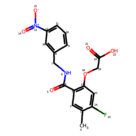 Cc1cc(C(=O)NCc2cccc([N+](=O)[O-])c2)c(OCC(=O)O)cc1F